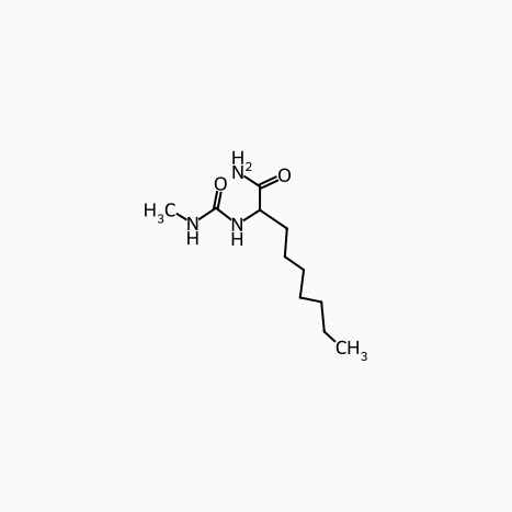 CCCCCCCC(NC(=O)NC)C(N)=O